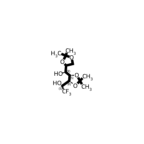 CC1(C)OCC([C@@H](O)[C@@H]2OC(C)(C)O[C@@H]2[C@H](O)C(F)(F)F)O1